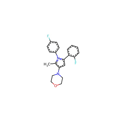 Cc1c(N2CCOCC2)cc(-c2ccccc2F)n1-c1ccc(F)cc1